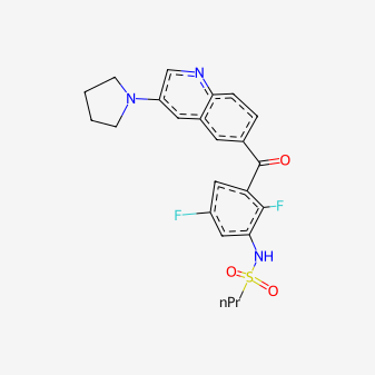 CCCS(=O)(=O)Nc1cc(F)cc(C(=O)c2ccc3ncc(N4CCCC4)cc3c2)c1F